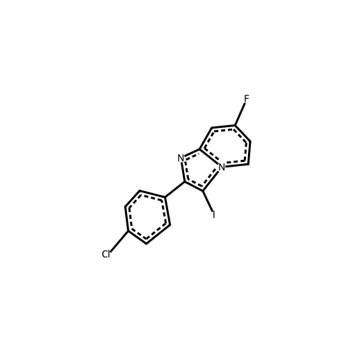 Fc1ccn2c(I)c(-c3ccc(Cl)cc3)nc2c1